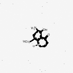 Cl.Nc1cc(Cl)c2c(c1O)c(=O)ccc[n+]2[O-]